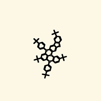 CC(C)(C)c1ccc(N2c3ccc(C(C)(C)C)cc3B3c4cc5sc6ccc(C(C)(C)C)cc6c5cc4N(c4ccc(C(C)(C)C)cc4)c4cc(C(C)(C)C)cc2c43)cc1